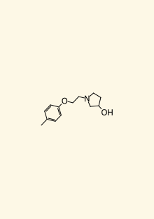 Cc1ccc(OCCN2CCC(O)C2)cc1